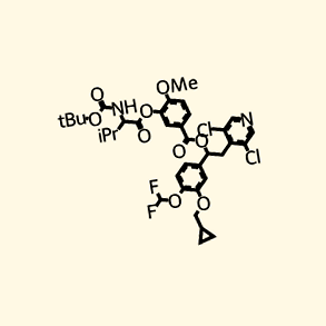 COc1ccc(C(=O)OC(Cc2c(Cl)cncc2Cl)c2ccc(OC(F)F)c(OCC3CC3)c2)cc1OC(=O)C(NC(=O)OC(C)(C)C)C(C)C